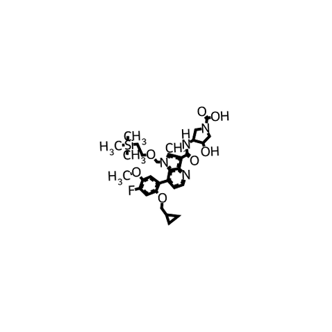 COc1cc(-c2ccnc3c(C(=O)NC4CN(C(=O)O)CC4O)c(C)n(COCC[Si](C)(C)C)c23)c(OCC2CC2)cc1F